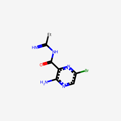 CCC(=N)NC(=O)c1nc(Br)cnc1N